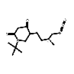 C[C@@H](CCC1CN(C(C)(C)C)C(=O)CC1=O)CN=[N+]=[N-]